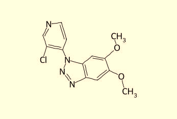 COc1cc2nnn(-c3ccncc3Cl)c2cc1OC